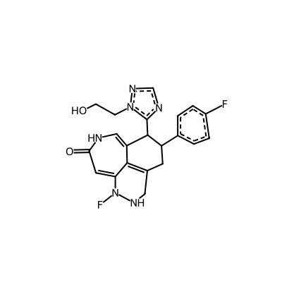 O=C1C=C2C3=C(CNN2F)CC(c2ccc(F)cc2)C(c2ncnn2CCO)C3=CN1